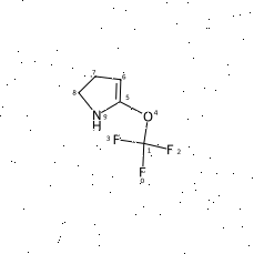 FC(F)(F)OC1=C[CH]CN1